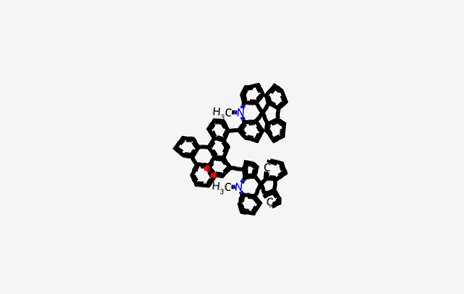 CN1c2ccccc2C2(c3ccccc3-c3ccccc32)c2cccc(-c3cccc4c(-c5ccccc5-c5ccccc5)c5cccc(-c6cccc7c6N(C)c6ccccc6C76c7ccccc7-c7ccccc76)c5cc34)c21